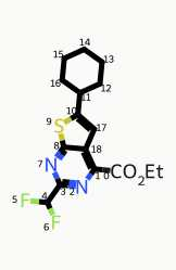 CCOC(=O)c1nc(C(F)F)nc2sc(C3CCCCC3)cc12